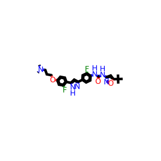 CN(C)CCCOc1ccc(-c2cc(-c3ccc(NC(=O)Nc4cc(C(C)(C)C)on4)c(F)c3)n[nH]2)c(F)c1